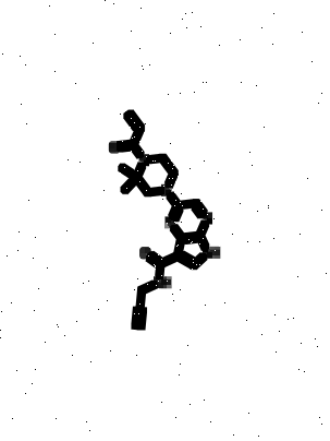 C#CCNC(=O)c1c[nH]c2ncc(N3CCN(C(=O)C=C)C(C)(C)C3)nc12